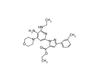 CCNc1nc(-n2nc(-c3cccc(C)c3)cc2C(=O)OCC)cc(N2CCOCC2)c1N